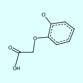 [O]c1ccccc1OCC(=O)O